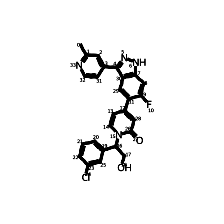 Cc1cc(-c2n[nH]c3cc(F)c(-c4ccn(C(CO)c5cccc(Cl)c5)c(=O)c4)cc23)ccn1